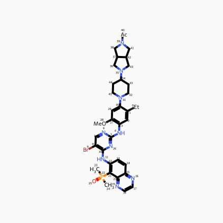 CCc1cc(Nc2ncc(Br)c(Nc3ccc4nccnc4c3P(C)(C)=O)n2)c(OC)cc1N1CCC(N2CC3CN(C(C)=O)CC3C2)CC1